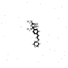 NC1=NC(N)(c2ccc(C=CCN3CCOCC3)cc2)NN1